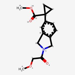 COCC(=O)N1Cc2ccc(C3(C(=O)OC)CC3)cc2C1